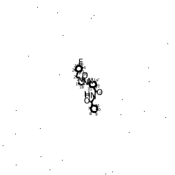 O=C(NCC(O)c1ccccc1)c1ccnc(N2CCN(Cc3ccc(F)cc3)C2=O)c1